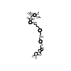 CCOc1cc([C@@H](CS(C)(=O)=O)N2C(=O)c3cccc(NCCCCc4ccc(CCNCc5ccc(OCc6scc7c6CN(C6CCC(=O)NC6=O)C7=O)cc5)cc4)c3C2=O)ccc1OC